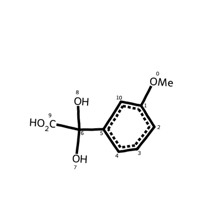 COc1cccc(C(O)(O)C(=O)O)c1